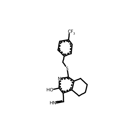 N=Cc1c(O)nc(SCc2ccc(C(F)(F)F)cc2)c2c1CCCC2